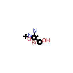 Cc1c(-c2cccc(O)c2)c(Br)c2oc(C(C)(C)C)nc2c1C#N